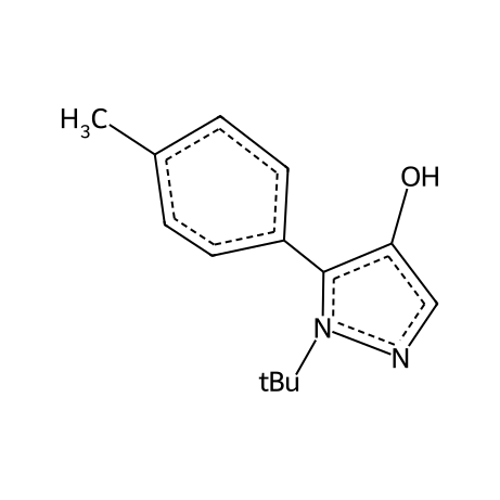 Cc1ccc(-c2c(O)cnn2C(C)(C)C)cc1